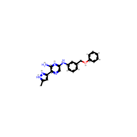 Cc1cc(-c2ncc(Nc3cccc(COc4ccccc4)c3)nc2N)n[nH]1